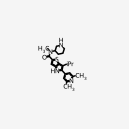 Cc1cc(-c2[nH]c3cc(C(=O)N(C)C4CCCNC4)sc3c2C(C)C)cc(C)n1